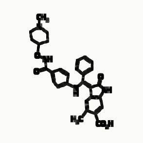 Cc1cc2c(cc1C(=O)O)NC(=O)/C2=C(/Nc1ccc(C(=O)NOC2CCN(C)CC2)cc1)c1ccccc1